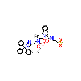 CC(C)C(C(=O)N1Cc2ccccc2C[C@H]1C(=O)NCCCS(C)(=O)=O)N(CCc1cn(C(c2ccccc2)(c2ccccc2)c2ccccc2)cn1)C(=O)OCC(Cl)(Cl)Cl